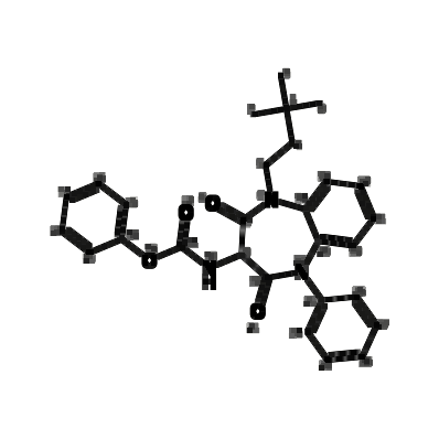 CC(C)(C)CCN1C(=O)C(NC(=O)Oc2ccccc2)C(=O)N(c2ccccc2)c2ccccc21